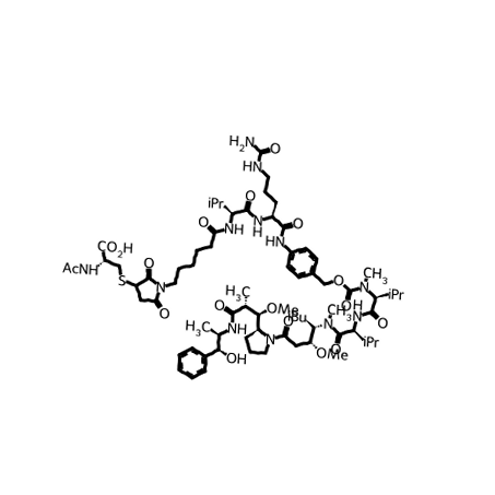 CC[C@H](C)[C@@H]([C@@H](CC(=O)N1CCC[C@H]1[C@H](OC)[C@@H](C)C(=O)N[C@H](C)[C@@H](O)c1ccccc1)OC)N(C)C(=O)[C@@H](NC(=O)[C@H](C(C)C)N(C)C(=O)OCc1ccc(NC(=O)[C@H](CCCNC(N)=O)NC(=O)[C@@H](NC(=O)CCCCCN2C(=O)CC(SC[C@H](NC(C)=O)C(=O)O)C2=O)C(C)C)cc1)C(C)C